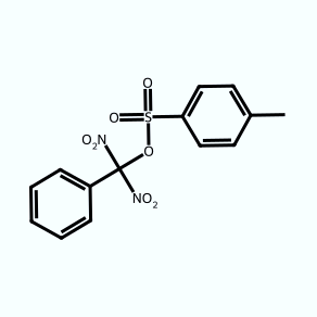 Cc1ccc(S(=O)(=O)OC(c2ccccc2)([N+](=O)[O-])[N+](=O)[O-])cc1